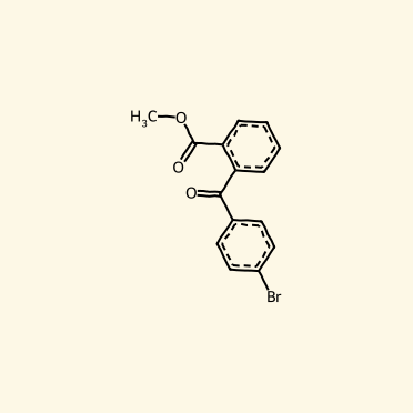 COC(=O)c1ccccc1C(=O)c1ccc(Br)cc1